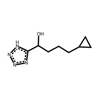 OC(CCCC1CC1)c1nnn[nH]1